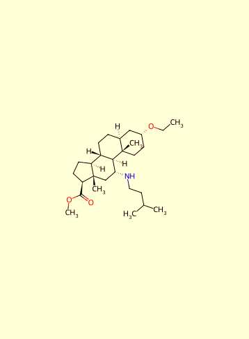 CCO[C@@H]1CC[C@@]2(C)[C@@H](CC[C@@H]3[C@@H]2[C@H](NCCC(C)C)C[C@]2(C)[C@@H](C(=O)OC)CC[C@@H]32)C1